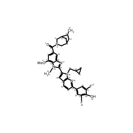 COc1cc(C(=O)N2CC3CC(C2)[C@@H](C)C3)cc2nc(-c3cc4ccc(-c5cc(F)c(O)c(F)c5)nc4n3CC3CC3)n(C)c12